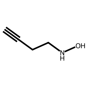 C#CCCNO